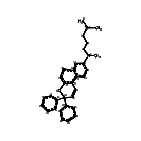 CN(C)CCCN(C)c1ccc2c3c(ccc2c1)OC(c1ccccc1)(c1ccccc1)C=C3